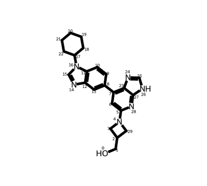 OCC1CN(c2cc(-c3ccc4c(c3)ncn4C3CCCCC3)c3nc[nH]c3n2)C1